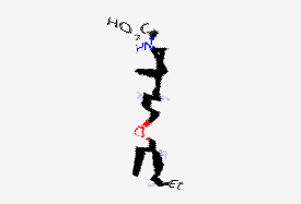 C=C/C(=C\C=C/CC)COC/C=C\C=C/C(=C)C1CC1NCC(=O)O